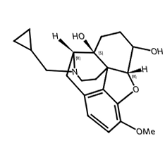 COc1ccc2c3c1O[C@H]1C(O)CC[C@@]4(O)[C@@H](C2)N(CC2CC2)CCC314